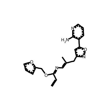 C=C/C(=N\C=C(/C)Cc1cc(-c2cccnc2N)on1)OCc1ccco1